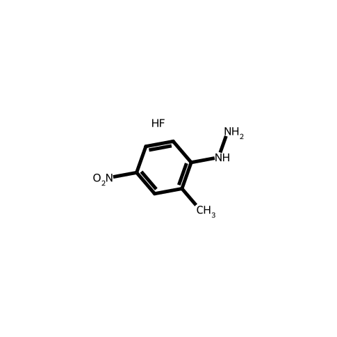 Cc1cc([N+](=O)[O-])ccc1NN.F